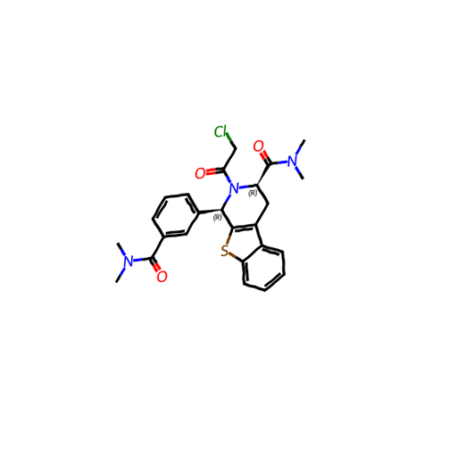 CN(C)C(=O)c1cccc([C@@H]2c3sc4ccccc4c3C[C@H](C(=O)N(C)C)N2C(=O)CCl)c1